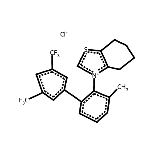 Cc1cccc(-c2cc(C(F)(F)F)cc(C(F)(F)F)c2)c1-[n+]1csc2c1CCCC2.[Cl-]